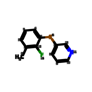 Cc1cccc(Sc2cccnc2)c1F